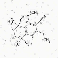 CCc1cc2c(c(OC)c1C#N)C(C)(C)CCC2(C)C